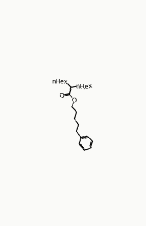 CCCCCCC(CCCCCC)C(=O)OCCCCCc1ccccc1